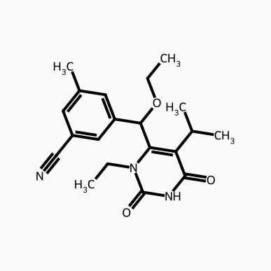 CCOC(c1cc(C)cc(C#N)c1)c1c(C(C)C)c(=O)[nH]c(=O)n1CC